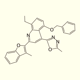 CCc1ccc(OCc2ccccc2)c2c(-c3nnc(C)o3)cc(-c3oc4ccccc4c3C)nc12